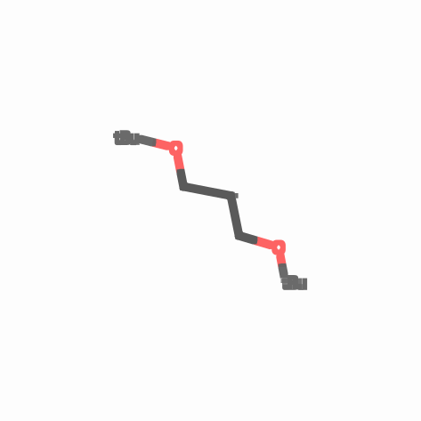 CC(C)(C)OC[CH]COC(C)(C)C